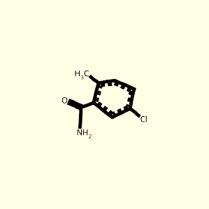 Cc1ccc(Cl)cc1C(N)=O